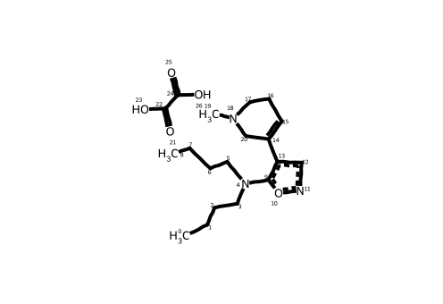 CCCCN(CCCC)c1oncc1C1=CCCN(C)C1.O=C(O)C(=O)O